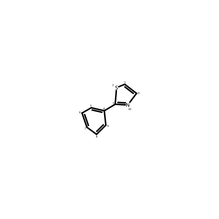 [c]1csc(-c2ccccc2)n1